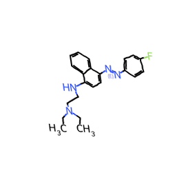 CCN(CC)CCNc1ccc(/N=N/c2ccc(F)cc2)c2ccccc12